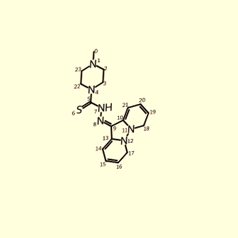 CN1CCN(C(=S)NN=c2c3n(n4c2=CC=CC4)CC=CC=3)CC1